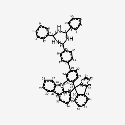 c1ccc(C2NC(c3ccccc3)NC(c3ccc(-c4ccc5c(c4)-n4c6ccccc6c6cccc(c64)C54c5ccccc5-c5ccccc54)cc3)N2)cc1